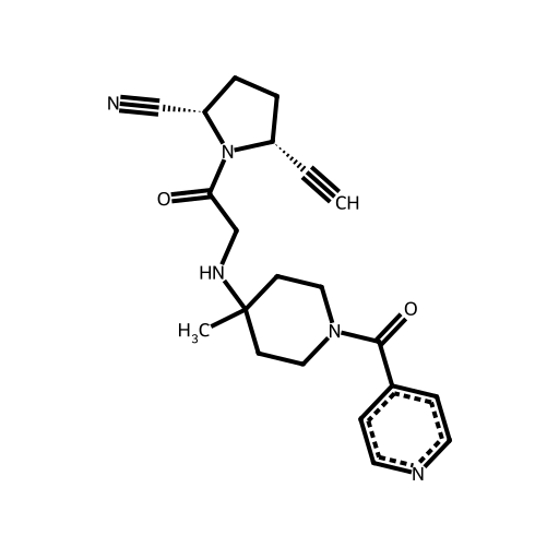 C#C[C@H]1CC[C@@H](C#N)N1C(=O)CNC1(C)CCN(C(=O)c2ccncc2)CC1